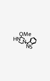 COC1CN(c2nsc3ccccc23)CCN1